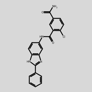 NC(=O)c1ccc(Cl)c(C(=O)Nc2ccc3[nH]c(-c4ccccc4)nc3c2)c1